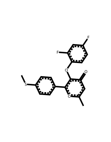 CSc1ccc(-c2oc(C)cc(=O)c2Oc2ccc(F)cc2F)cc1